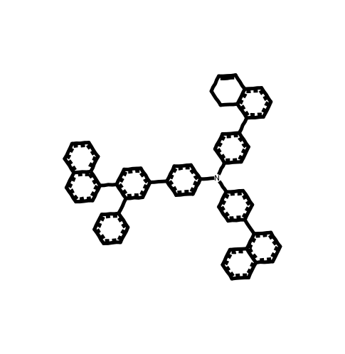 C1=Cc2cccc(-c3ccc(N(c4ccc(-c5ccc(-c6cccc7ccccc67)c(-c6ccccc6)c5)cc4)c4ccc(-c5cccc6ccccc56)cc4)cc3)c2CC1